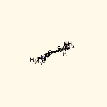 CCC/N=C(\CC)c1ccc(OCCCCCN(S)CCNc2ccnc(N)c2)cc1